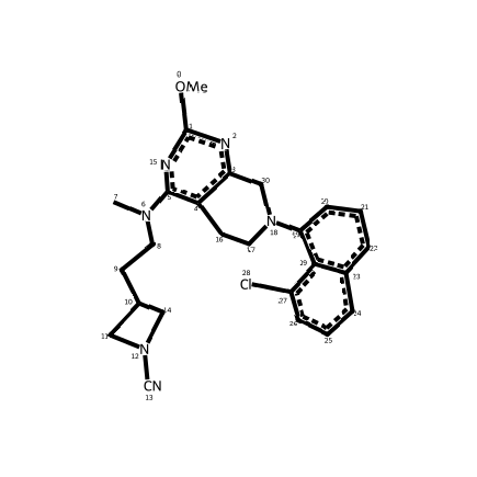 COc1nc2c(c(N(C)CCC3CN(C#N)C3)n1)CCN(c1cccc3cccc(Cl)c13)C2